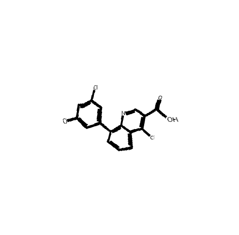 O=C(O)c1cnc2c(-c3cc(Cl)cc(Cl)c3)cccc2c1Cl